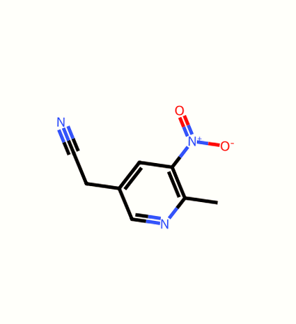 Cc1ncc(CC#N)cc1[N+](=O)[O-]